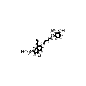 C=CCc1c(OCCCCCOc2cccc(O)c2C(C)=O)ccc2c(=O)cc(C(=O)O)oc12